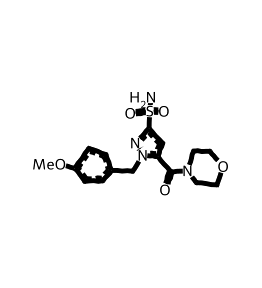 COc1ccc(Cn2nc(S(N)(=O)=O)cc2C(=O)N2CCOCC2)cc1